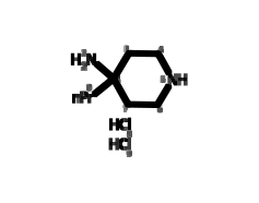 CCCC1(N)CCNCC1.Cl.Cl